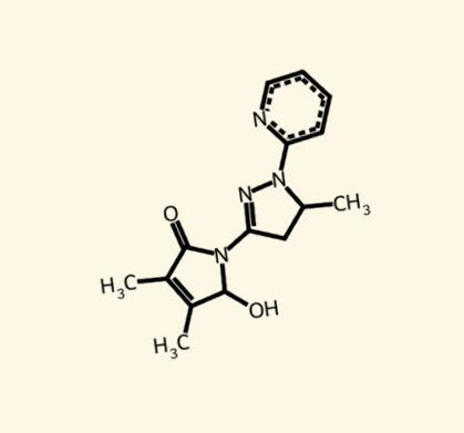 CC1=C(C)C(O)N(C2=NN(c3ccccn3)C(C)C2)C1=O